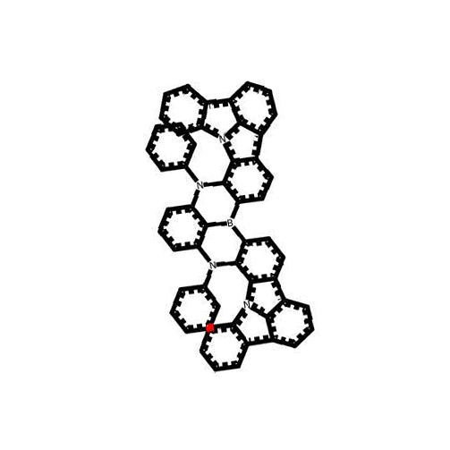 c1ccc(N2c3cccc4c3B(c3ccc5c6cccc7c8ccccc8n(c5c32)c76)c2ccc3c5cccc6c7ccccc7n(c3c2N4c2ccccc2)c65)cc1